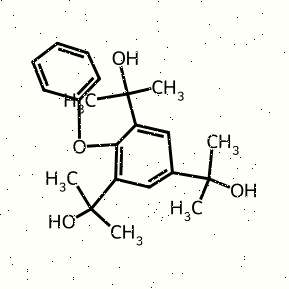 CC(C)(O)c1cc(C(C)(C)O)c(Oc2ccccc2)c(C(C)(C)O)c1